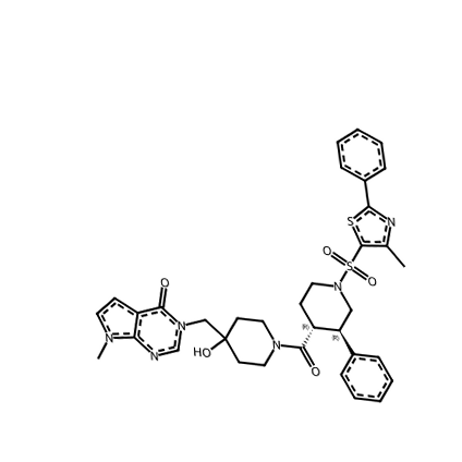 Cc1nc(-c2ccccc2)sc1S(=O)(=O)N1CC[C@@H](C(=O)N2CCC(O)(Cn3cnc4c(ccn4C)c3=O)CC2)[C@H](c2ccccc2)C1